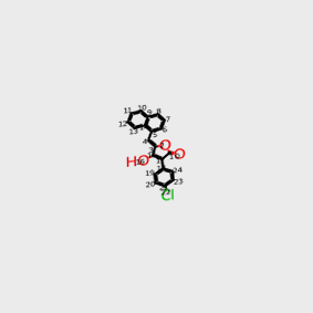 O=C1O/C(=C\c2cccc3ccccc23)C(O)=C1c1ccc(Cl)cc1